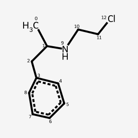 CC(Cc1ccccc1)NCCCl